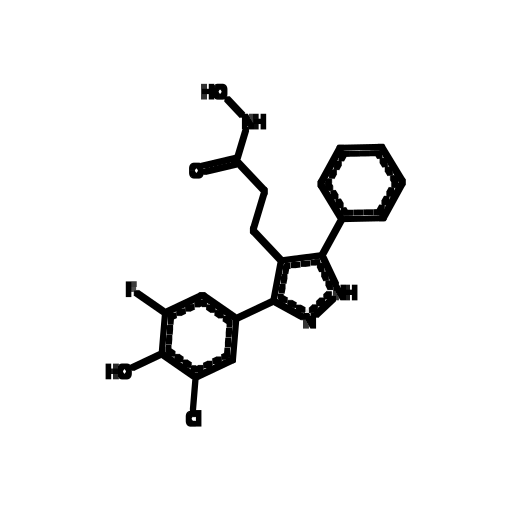 O=C(CCc1c(-c2cc(F)c(O)c(Cl)c2)n[nH]c1-c1ccccc1)NO